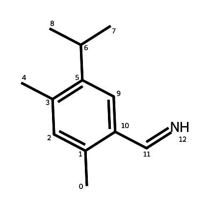 Cc1cc(C)c(C(C)C)cc1C=N